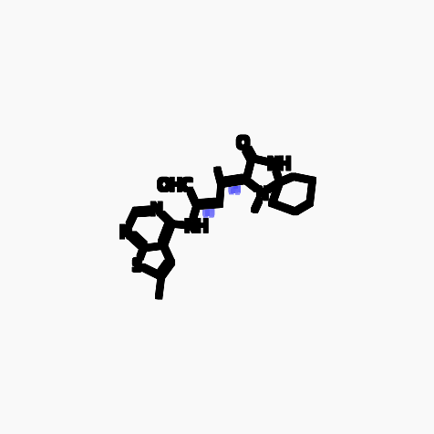 CC(/C=C(\C=O)Nc1ncnc2sc(C)cc12)=C1\C(=O)NC2(CCCCC2)N1C